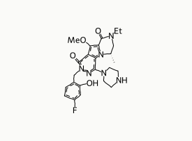 CCN1C[C@H](C)n2c(c(OC)c3c(=O)n(Cc4ccc(F)cc4O)nc(N4CCNCC4)c32)C1=O